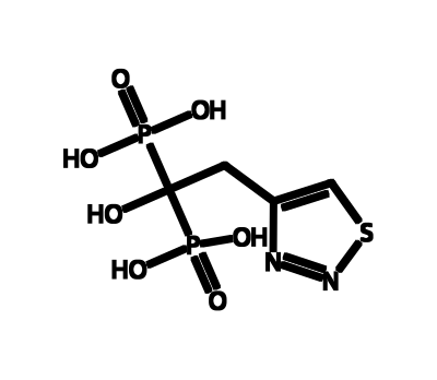 O=P(O)(O)C(O)(Cc1csnn1)P(=O)(O)O